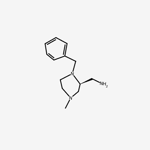 CN1CCN(Cc2ccccc2)[C@@H](CN)C1